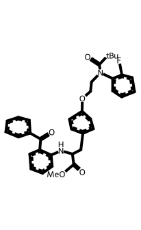 COC(=O)C(Cc1ccc(OCCN(C(=O)C(C)(C)C)c2ccccc2F)cc1)Nc1ccccc1C(=O)c1ccccc1